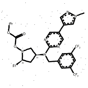 CC[C@@H]1C[C@H](N(Cc2cc(C(F)(F)F)cc(C(F)(F)F)c2)c2ncc(-c3cnn(C)c3)cn2)CN1OC(=O)OC(C)C